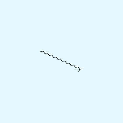 CCCCCCCCCCCCCCCCCCC(C)C